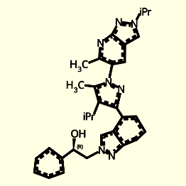 Cc1nc2nn(C(C)C)cc2cc1-n1nc(-c2cccc3nn(C[C@H](O)c4ccccc4)cc23)c(C(C)C)c1C